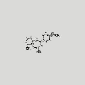 CCN1Cc2c(cccc2C(F)(F)F)OC(c2ccc(OC(F)(F)F)cc2)C1